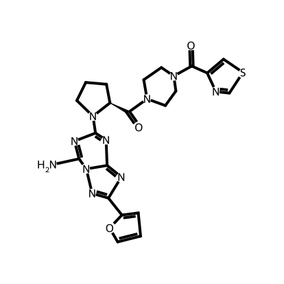 Nc1nc(N2CCC[C@H]2C(=O)N2CCN(C(=O)c3cscn3)CC2)nc2nc(-c3ccco3)nn12